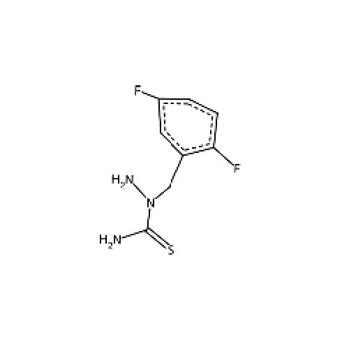 NC(=S)N(N)Cc1cc(F)ccc1F